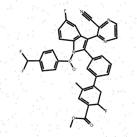 COC(=O)C1=CC(C)=C(c2cccc(-c3c(-c4nccnc4C#N)c4cc(F)ccc4n3[S+]([O-])c3ccc(C(F)F)cc3)c2)CC1F